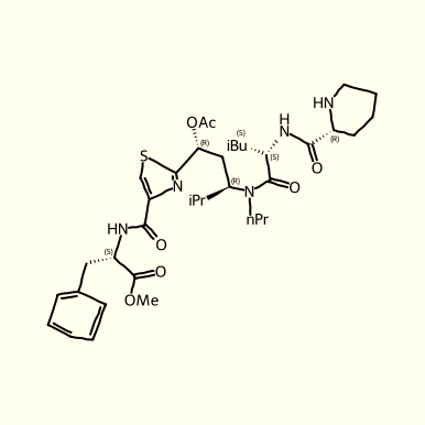 CCCN(C(=O)[C@@H](NC(=O)[C@H]1CCCCN1)[C@@H](C)CC)[C@H](C[C@@H](OC(C)=O)c1nc(C(=O)N[C@@H](Cc2ccccc2)C(=O)OC)cs1)C(C)C